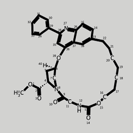 COC(=O)[C@@H]1C[C@@H]2CN1C(=O)CNC(=O)OCCCCCCCc1ccc3nc(-c4ccccc4)cc(c3c1)O2